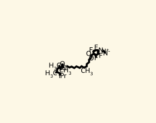 CC(C)CC(C)CC(C)(C)C(=O)OCCCCCCCC(C)CCCCOC(=O)c1c(F)c(F)c(N=[N+]=[N-])c(F)c1F